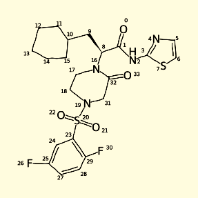 O=C(Nc1nccs1)[C@H](CC1CCCCC1)N1CCN(S(=O)(=O)c2cc(F)ccc2F)CC1=O